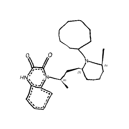 C[C@H](C[C@@H]1CCC[C@H](C)N1C1CCCCCCC1)n1c(=O)c(=O)[nH]c2ccccc21